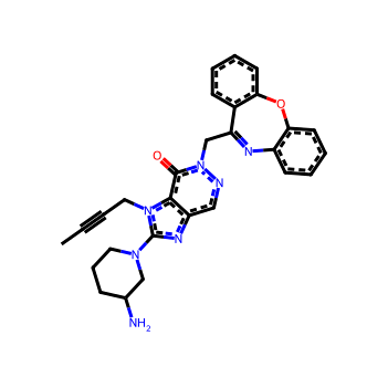 CC#CCn1c(N2CCCC(N)C2)nc2cnn(CC3=Nc4ccccc4Oc4ccccc43)c(=O)c21